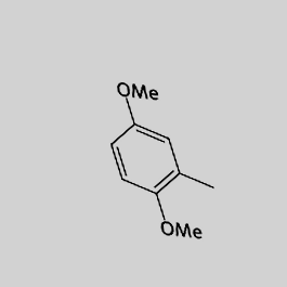 [CH2]Oc1ccc(OC)cc1C